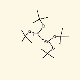 CC(C)(C)O[SiH](C[SiH](OC(C)(C)C)OC(C)(C)C)OC(C)(C)C